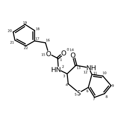 O=C(NC1CSc2ccccc2NC1=O)OCc1ccccc1